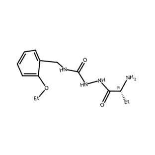 CCOc1ccccc1CNC(=O)NNC(=O)[C@H](N)CC